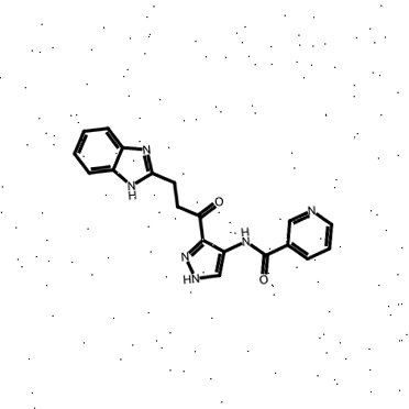 O=C(Nc1c[nH]nc1C(=O)CCc1nc2ccccc2[nH]1)c1cccnc1